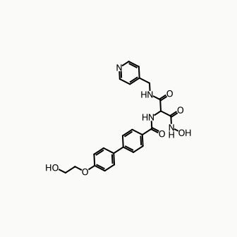 O=C(NC(C(=O)NO)C(=O)NCc1ccncc1)c1ccc(-c2ccc(OCCO)cc2)cc1